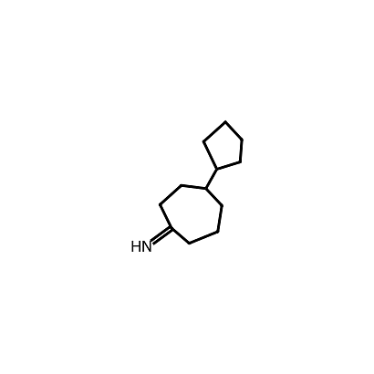 N=C1CCCC(C2CCCC2)CC1